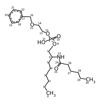 CCCCCCC(COP(=O)(O)OCCOCc1ccccc1)NC(=O)CCCCC